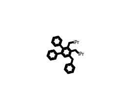 CC(C)Cc1c(Cc2ccccc2)cc(-c2ccccc2)c(-c2ccccc2)c1CC(C)C